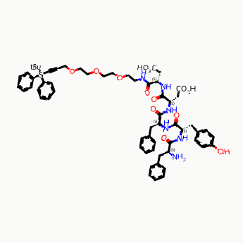 CC(C)(C)[Si](C#CCOCCOCCOCCNC(=O)[C@H](CC(=O)O)NC(=O)[C@H](CC(=O)O)NC(=O)[C@H](Cc1ccccc1)NC(=O)[C@H](Cc1ccc(O)cc1)NC(=O)[C@@H](N)Cc1ccccc1)(c1ccccc1)c1ccccc1